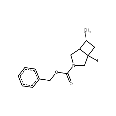 C[C@@H]1CC2(I)CN(C(=O)OCc3ccccc3)CC12